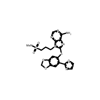 CNS(=O)(=O)CCCn1c(Sc2cc3c(cc2-c2ncco2)OCO3)nc2c(N)ncnc21